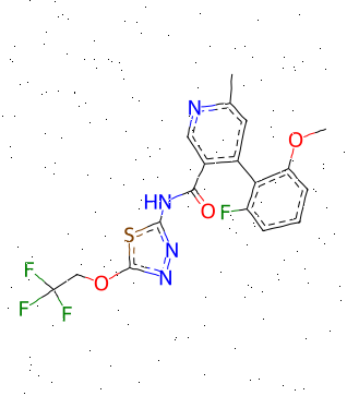 COc1cccc(F)c1-c1cc(C)ncc1C(=O)Nc1nnc(OCC(F)(F)F)s1